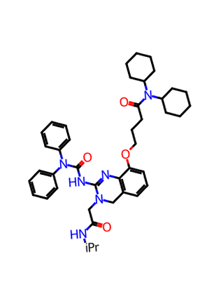 CC(C)NC(=O)CN1Cc2cccc(OCCCC(=O)N(C3CCCCC3)C3CCCCC3)c2N=C1NC(=O)N(c1ccccc1)c1ccccc1